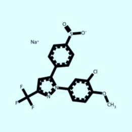 COc1ccc(-n2nc(C(F)(F)F)cc2-c2ccc(S(=O)[O-])cc2)cc1Cl.[Na+]